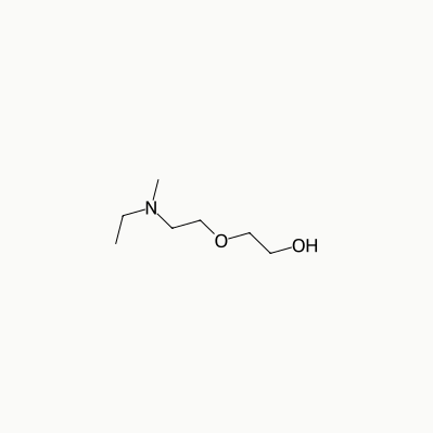 CCN(C)CCOCCO